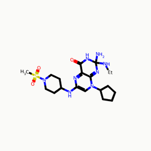 CCNC1(N)N=C2C(=NC(NC3CCN(S(C)(=O)=O)CC3)=CN2C2CCCC2)C(=O)N1